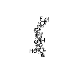 O=C(NC1CCN(C(=O)COc2ccc(Cl)c(F)c2)CC1)[C@H]1C[C@@H](O)c2cc(Cl)ccc2O1